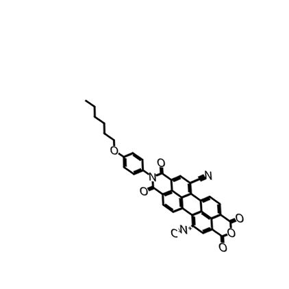 [C-]#[N+]c1cc2c3c(ccc4c5c(C#N)cc6c7c(ccc(c1c34)c75)C(=O)N(c1ccc(OCCCCCC)cc1)C6=O)C(=O)OC2=O